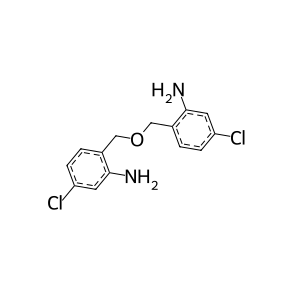 Nc1cc(Cl)ccc1COCc1ccc(Cl)cc1N